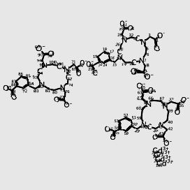 O=C([O-])CN1CCN(CC(=O)[O-])CCN(Cc2cccc(C(=O)[O-])c2)CCN(CC(=O)[O-])CC1.O=C([O-])CN1CCN(CC(=O)[O-])CCN(Cc2cccc(C(=O)[O-])c2)CCN(CC(=O)[O-])CC1.O=C([O-])CN1CCN(CC(=O)[O-])CCN(Cc2cccc(C(=O)[O-])c2)CCN(CC(=O)[O-])CC1.[Gd+3].[Gd+3].[Gd+3].[Gd+3]